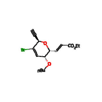 C#C[C@H]1O[C@H](C=CC(=O)OCC)[C@H](OCCCC)C=C1Br